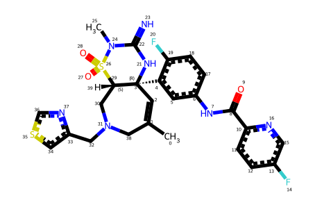 CC1=C[C@]2(c3cc(NC(=O)c4ccc(F)cn4)ccc3F)NC(=N)N(C)S(=O)(=O)[C@H]2CN(Cc2cscn2)C1